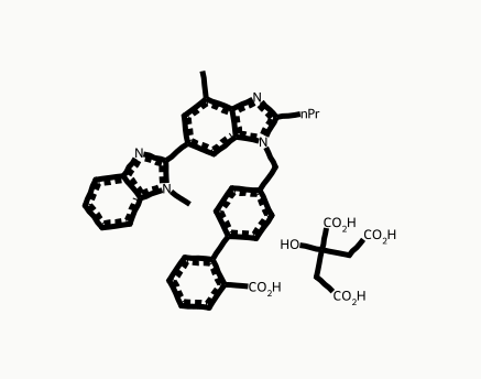 CCCc1nc2c(C)cc(-c3nc4ccccc4n3C)cc2n1Cc1ccc(-c2ccccc2C(=O)O)cc1.O=C(O)CC(O)(CC(=O)O)C(=O)O